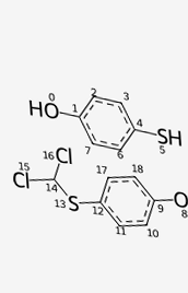 Oc1ccc(S)cc1.Oc1ccc(SC(Cl)Cl)cc1